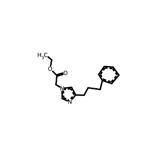 CCOC(=O)Cn1cnc(CCCc2ccccc2)c1